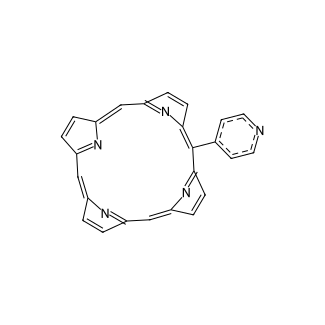 C1=CC2=NC1=CC1=NC(=C(c3ccncc3)C3=NC(=CC4=NC(=C2)C=C4)C=C3)C=C1